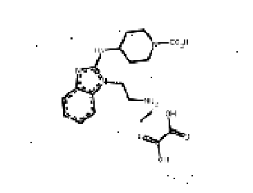 NCCn1c(NC2CCN(C(=O)O)CC2)nc2ccccc21.O=C(O)C(=O)O.[CH2]C